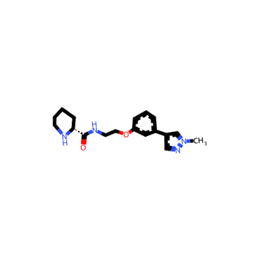 Cn1cc(-c2c[c]cc(OCCNC(=O)[C@H]3CCCCN3)c2)cn1